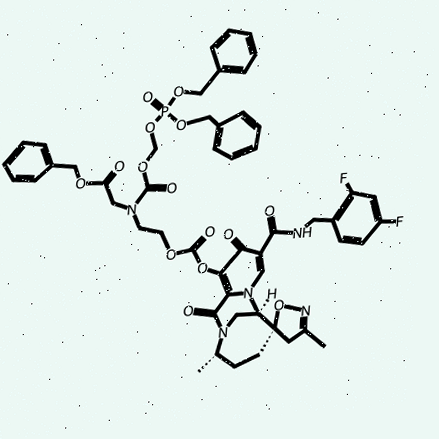 CC1=NO[C@@]2(CC[C@H](C)N3C[C@H]2n2cc(C(=O)NCc4ccc(F)cc4F)c(=O)c(OC(=O)OCCN(CC(=O)OCc4ccccc4)C(=O)OCOP(=O)(OCc4ccccc4)OCc4ccccc4)c2C3=O)C1